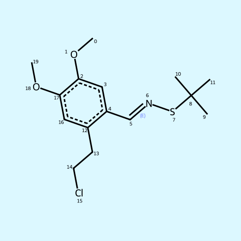 COc1cc(/C=N/SC(C)(C)C)c(CCCl)cc1OC